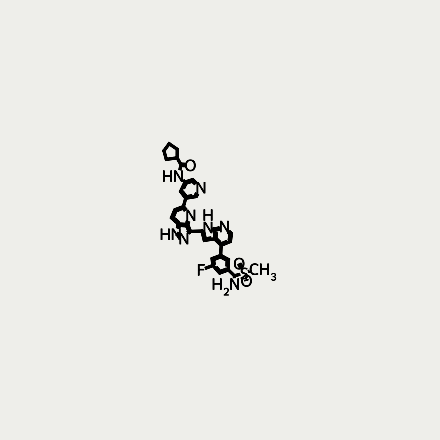 CS(=O)(=O)C(N)c1cc(F)cc(-c2ccnc3[nH]c(-c4n[nH]c5ccc(-c6cncc(NC(=O)C7CCCC7)c6)nc45)cc23)c1